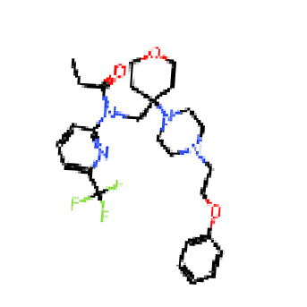 CCC(=O)N(CC1(N2CCN(CCOc3ccccc3)CC2)CCOCC1)c1cccc(C(F)(F)F)n1